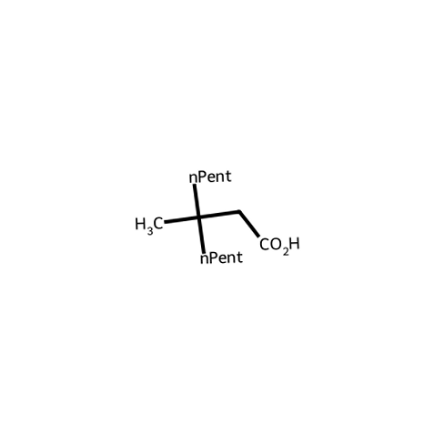 CCCCCC(C)(CCCCC)CC(=O)O